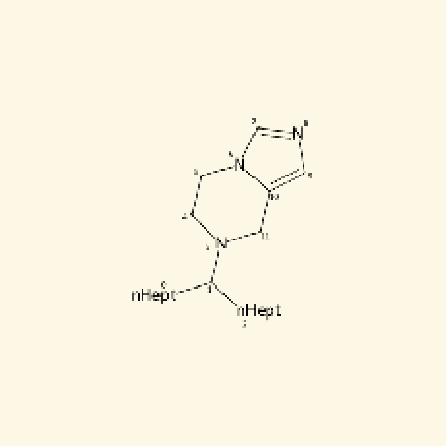 CCCCCCCC(CCCCCCC)N1CCn2cncc2C1